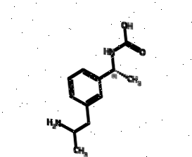 CC(N)Cc1cccc([C@@H](C)NC(=O)O)c1